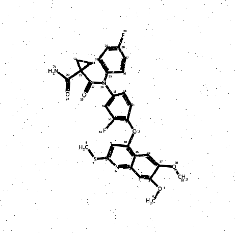 COc1cc2nc(SC)cc(Oc3ccc(N(C(=O)C4(C(N)=O)CC4)c4ccc(F)cc4)cc3F)c2cc1OC